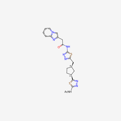 CC(=O)Nc1nnc([C@H]2CC[C@@H](Cc3nnc(NC(=O)Cc4cn5ccccc5n4)s3)C2)s1